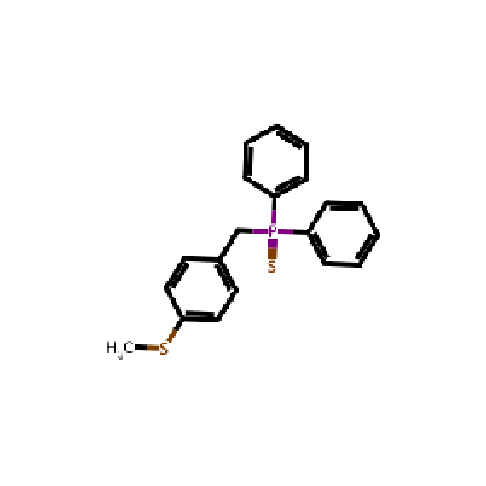 CSc1ccc(CP(=S)(c2ccccc2)c2ccccc2)cc1